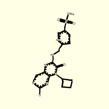 CNS(=O)(=O)c1ccc(CNc2nc3cnc(Cl)nc3n(C3CCC3)c2=O)nc1